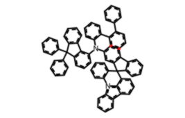 c1ccc(-c2ccccc2-c2ccccc2N(c2ccc3c(c2)C2(c4ccccc4-3)c3ccccc3-n3c4ccccc4c4cccc2c43)c2cccc3c2-c2ccccc2C3(c2ccccc2)c2ccccc2)cc1